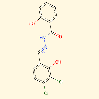 O=C(N/N=C/c1ccc(Cl)c(Cl)c1O)c1ccccc1O